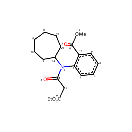 CCOC(=O)CC(=O)N(c1ccccc1C(=O)OC)C1CCCCCC1